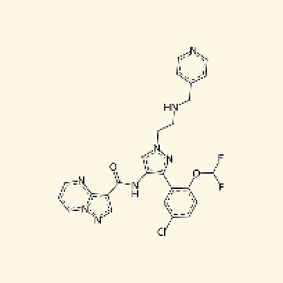 O=C(Nc1cn(CCNCc2ccncc2)nc1-c1cc(Cl)ccc1OC(F)F)c1cnn2cccnc12